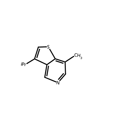 Cc1cncc2c(C(C)C)csc12